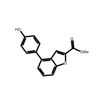 COC(=O)c1cc2c(-c3ccc(O)cc3)cccc2o1